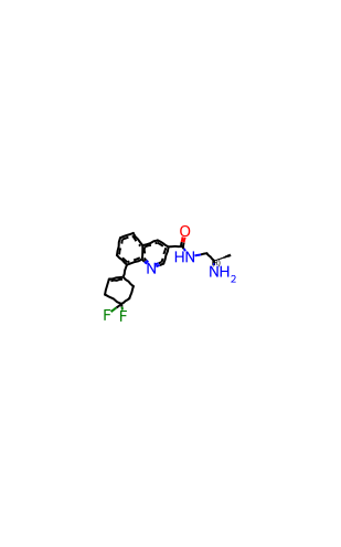 C[C@@H](N)CNC(=O)c1cnc2c(C3=CCC(F)(F)CC3)cccc2c1